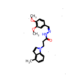 COc1ccc(/C=N\NC(=O)CCn2ccc3c(C)cccc32)cc1OC